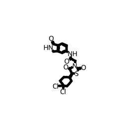 O=C(CN1C(=O)SC(=C2CCC(Cl)(Cl)CC2)C1=O)Nc1ccc2c(c1)CNC2=O